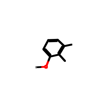 [CH]Oc1cccc(C)c1C